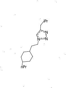 CCCC1CCC(CCn2cc(CC(C)C)nn2)CC1